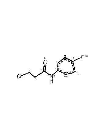 O=C(CCCl)Nc1ccc(F)cc1